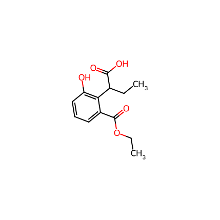 CCOC(=O)c1cccc(O)c1C(CC)C(=O)O